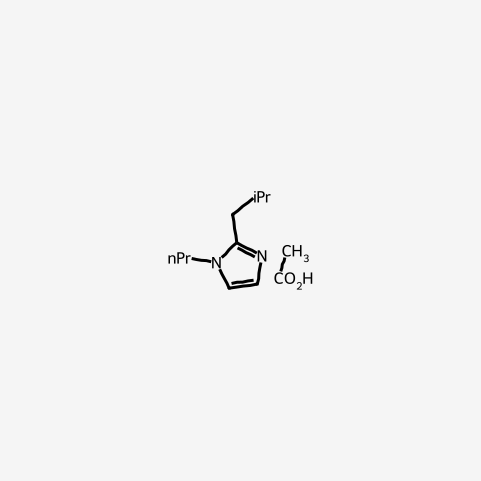 CC(=O)O.CCCn1ccnc1CC(C)C